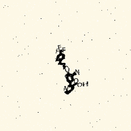 N#Cc1cc(-c2ncccc2C(=O)O)ccc1OCCCc1ccc(C(F)(F)F)cc1